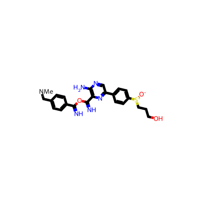 CNCc1ccc(C(=N)OC(=N)c2nc(-c3ccc([S+]([O-])CCCO)cc3)cnc2N)cc1